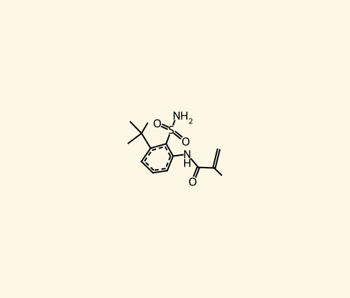 C=C(C)C(=O)Nc1cccc(C(C)(C)C)c1S(N)(=O)=O